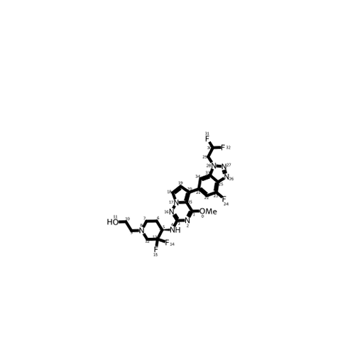 COc1nc(N[C@@H]2CCN(CCO)CC2(F)F)nn2ccc(-c3cc(F)c4nnn(CC(F)F)c4c3)c12